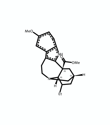 CCC1C[C@@H]2CN3CCc4c([nH]c5ccc(OC)cc45)[C@](C(=O)OC)(C2)[C@H]13